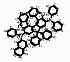 c1ccc(N(c2ccccc2)c2cc3c(c4c2oc2ccccc24)-c2c(cc(N(c4ccccc4)c4ccc5ccccc5c4)c4oc5ccccc5c24)C3(c2ccccc2)c2ccccc2)cc1